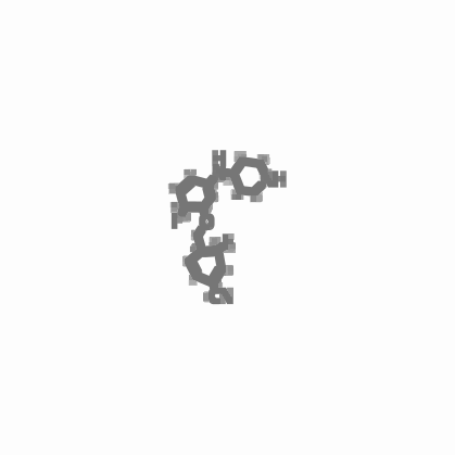 N#Cc1ccc(COc2cc(NC3CCNCC3)ccc2F)c(F)c1